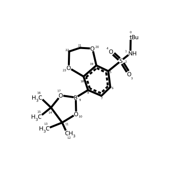 CC(C)(C)NS(=O)(=O)c1ccc(B2OC(C)(C)C(C)(C)O2)c2c1OCCO2